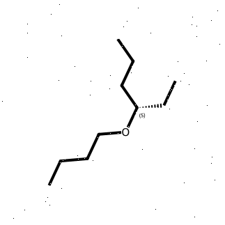 CCCCO[C@@H](CC)CCC